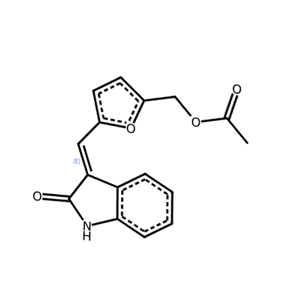 CC(=O)OCc1ccc(/C=C2/C(=O)Nc3ccccc32)o1